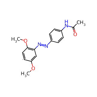 COc1[c]cc(OC)c(N=Nc2ccc(NC(C)=O)cc2)c1